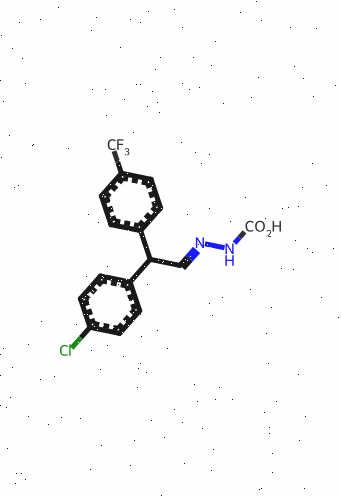 O=C(O)NN=CC(c1ccc(Cl)cc1)c1ccc(C(F)(F)F)cc1